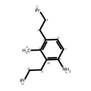 Cc1c(CCC(C)C)ccc(N)c1CCC(C)C